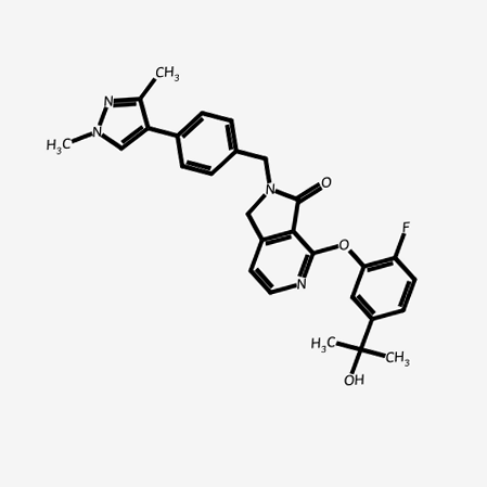 Cc1nn(C)cc1-c1ccc(CN2Cc3ccnc(Oc4cc(C(C)(C)O)ccc4F)c3C2=O)cc1